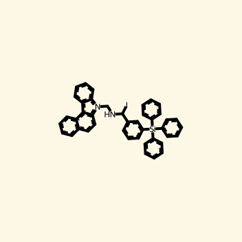 IC(NCn1c2ccccc2c2c3ccccc3ccc21)c1cccc([Si](c2ccccc2)(c2ccccc2)c2ccccc2)c1